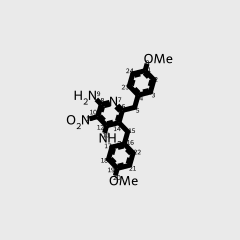 COc1ccc(Cc2nc(N)c([N+](=O)[O-])c(N)c2Cc2ccc(OC)cc2)cc1